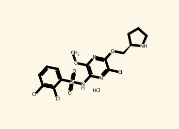 COc1nc(OC[C@H]2CCCN2)c(Cl)nc1NS(=O)(=O)c1cccc(Cl)c1Cl.Cl